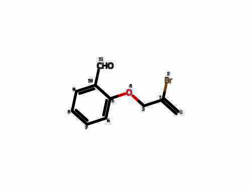 C=C(Br)COc1ccccc1C=O